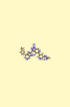 CC(=O)c1ccc(-c2cncc3[nH]c(-c4n[nH]c5cnc(-c6cncc(NC(C)C)c6)cc45)nc23)s1